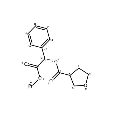 CC(C)OC(=O)[C@@H](OC(=O)C1CCOC1)c1ccccc1